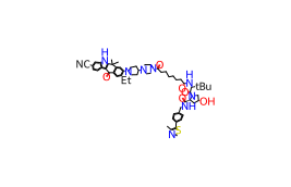 CCc1cc2c(cc1N1CCC(N3CCN(C(=O)CCCCCCC(=O)NC(C(=O)N4C[C@H](O)C[C@H]4C(=O)NCc4ccc(-c5scnc5C)cc4)C(C)(C)C)CC3)CC1)C(C)(C)c1[nH]c3cc(C#N)ccc3c1C2=O